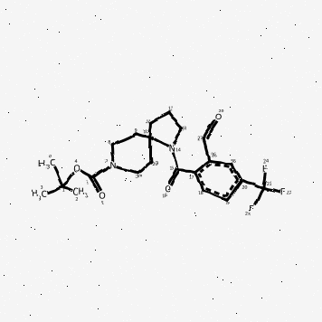 CC(C)(C)OC(=O)N1CCC2(CCCN2C(=O)c2ccc(C(F)(F)F)cc2C=O)CC1